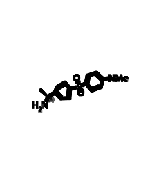 CNc1ccc(S(=O)(=O)c2ccc([C@H](C)N)cc2)cc1